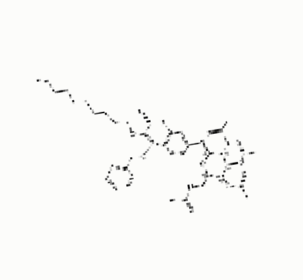 CCCCCCCCCCOc1c(OCc2ccccc2)c2ccc(O[C@@H]3O[C@H](COC(C)=O)[C@H](OC(C)=O)[C@H](OC(C)=O)[C@H]3OC(C)=O)cc2oc1=O